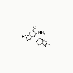 Cc1cn2cc(-c3c(N)c(Cl)cc4[nH]ncc34)ccc2n1